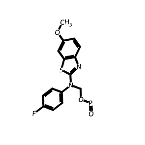 COc1ccc2nc(N(COP=O)c3ccc(F)cc3)sc2c1